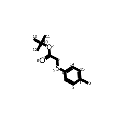 Cc1ccc(SCC(=O)OC(C)(C)C)cc1